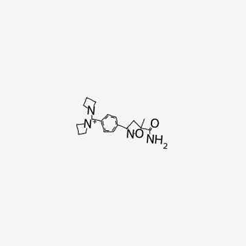 CC1(C(N)=O)CC(c2ccc(C(N3CCC3)=[N+]3CCC3)cc2)=NO1